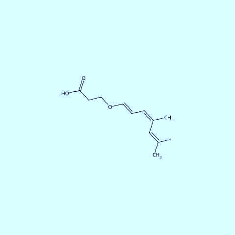 C/C(I)=C/C(C)=C\C=C\OCCC(=O)O